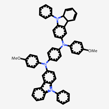 COc1ccc(N(c2ccc(N(c3ccc(OC)cc3)c3ccc4c(c3)c3ccccc3n4-c3ccccc3)cc2)c2ccc3c(c2)C2C=CC=CC2N3c2ccccc2)cc1